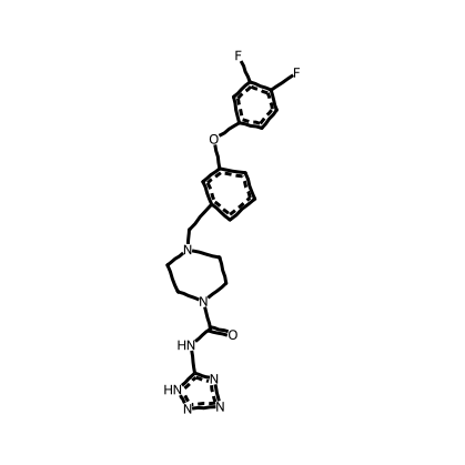 O=C(Nc1nnn[nH]1)N1CCN(Cc2cccc(Oc3ccc(F)c(F)c3)c2)CC1